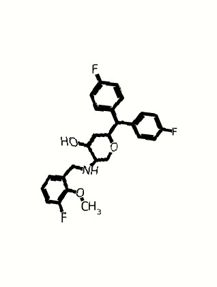 COc1c(F)cccc1CNC1COC(C(c2ccc(F)cc2)c2ccc(F)cc2)CC1O